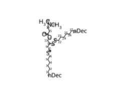 CCCCCCCCCCCCCCCCSSCC(COC(=O)CCN(C)C)SSCCCCCCCCCCCCCCCC